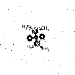 CCOc1cc([C@H]2[C@H](c3ccccc3)[C@H](c3cc(C)nc(OCC)n3)[C@H]2c2ccccc2)nc(OCC)n1